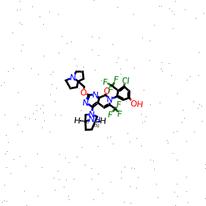 O=c1c2nc(OCC34CCCN3CCC4)nc(N3C[C@H]4CC[C@@H](C3)N4)c2cc(C(F)(F)F)n1-c1cc(O)cc(Cl)c1C(F)(F)F